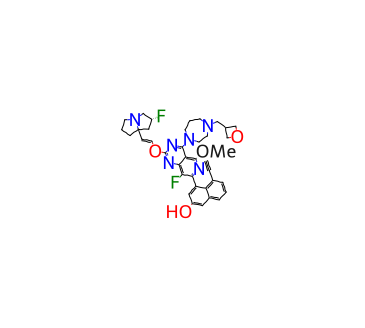 C#Cc1cccc2cc(O)cc(-c3nc(OC)c4c(N5CCCN(CC6COC6)CC5)nc(O/C=C/C56CCCN5C[C@H](F)C6)nc4c3F)c12